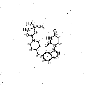 CC(C)(C)OC(=O)N1CCC(Cc2ccc3onc(N4CCC(=O)NC4=O)c3c2)CC1